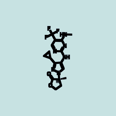 CNc1nc(Nc2cn([C@@]3(C)CCOC3=O)nc2C2CC2)ncc1C(F)(F)F